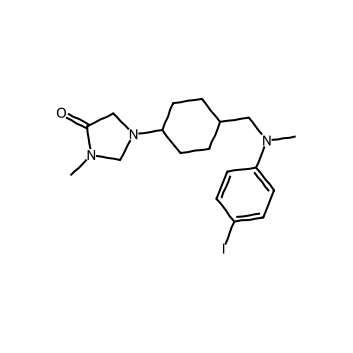 CN1CN(C2CCC(CN(C)c3ccc(I)cc3)CC2)CC1=O